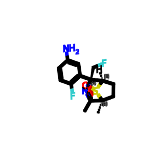 CC1=N[C@](CF)(c2cc(N)ccc2F)[C@H]2CC[C@]1(C)S2(=O)=O